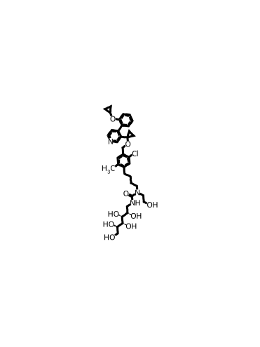 Cc1cc(COC2(c3cnccc3-c3ccccc3OC3CC3)CC2)c(Cl)cc1CCCCN(CCO)C(=O)NC[C@H](O)[C@@H](O)[C@H](O)[C@H](O)CO